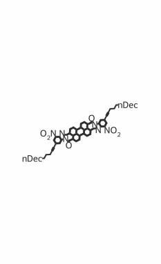 CCCCCCCCCCCCCC#Cc1cc([N+](=O)[O-])c2nc3c4ccc5c6ccc7c(=O)n8c9cc(C#CCCCCCCCCCCCCC)cc([N+](=O)[O-])c9nc8c8ccc(c9ccc(c(=O)n3c2c1)c4c95)c6c78